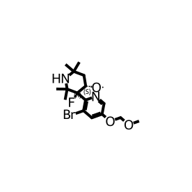 COCOc1cnc([C@@]2(F)[C@@H]([O])CC(C)(C)NC2(C)C)c(Br)c1